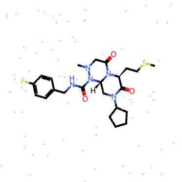 CSCC[C@H]1C(=O)N(C2CCCC2)C[C@H]2N1C(=O)CN(C)N2C(=O)NCc1ccc(F)cc1